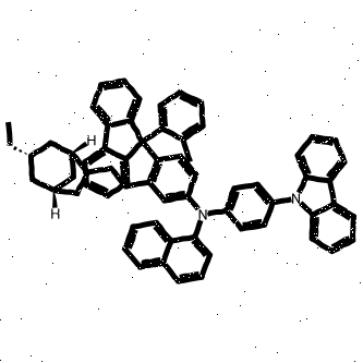 CC[C@H]1C[C@H]2CC(CCc3cc(N(c4ccc(-n5c6ccccc6c6ccccc65)cc4)c4cccc5ccccc45)ccc3C3(c4ccccc4C)c4ccccc4-c4ccccc43)[C@H](C2)C1